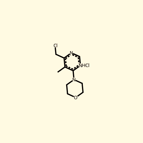 Cc1c(CCl)ncnc1N1CCOCC1.Cl